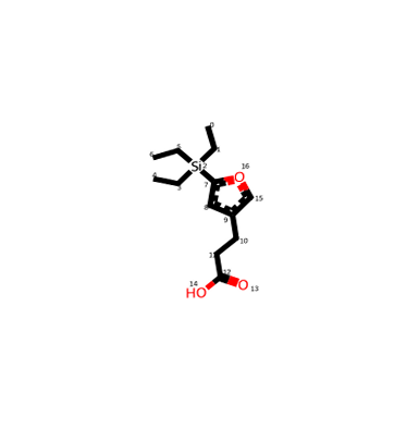 CC[Si](CC)(CC)c1cc(CCC(=O)O)co1